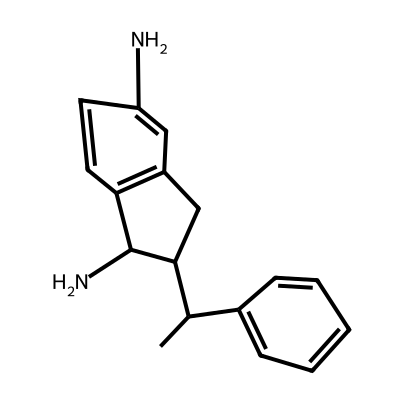 CC(c1ccccc1)C1Cc2cc(N)ccc2C1N